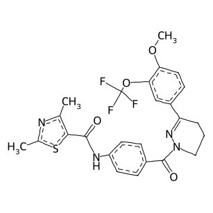 COc1ccc(C2=NN(C(=O)c3ccc(NC(=O)c4sc(C)nc4C)cc3)CCC2)cc1OC(F)(F)F